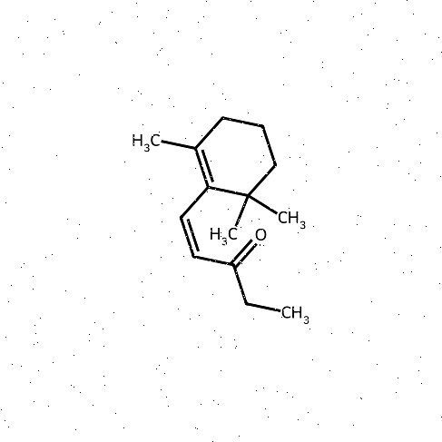 CCC(=O)/C=C\C1=C(C)CCCC1(C)C